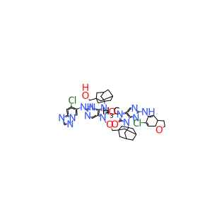 Cn1c(=O)n(C23CC4CC(CC(COCn5c(=O)n(C67CC8CC(CC(CO)(C8)C6)C7)c6nc(Nc7cn8ncnc8cc7Cl)ncc65)(C4)C2)C3)c2nc(NC3=CC4CCOC4C=C3Cl)ncc21